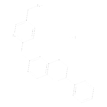 Cl.NCc1ccc(Oc2ccc3c(c2)CCC(c2ccccc2)O3)nc1